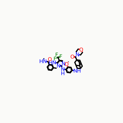 CNC(=O)c1cccc(C)c1Nc1nc(Nc2ccc(NC3C4CC5CC3CC(C(=O)N3CCOCC3)(C5)C4)cc2OC)ncc1C(F)(F)F